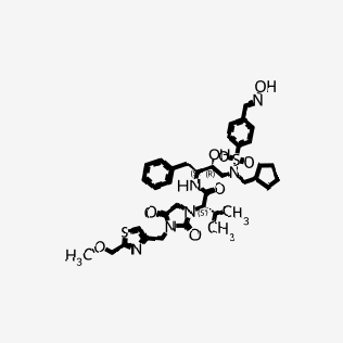 COCc1nc(CN2C(=O)CN([C@H](C(=O)N[C@@H](Cc3ccccc3)[C@H](O)CN(CC3CCCC3)S(=O)(=O)c3ccc(C=NO)cc3)C(C)C)C2=O)cs1